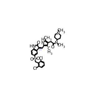 Cc1[nH]c(/C=C2\C(=O)Nc3ccc(S(=O)(=O)Cc4c(Cl)cccc4Cl)cc32)c(C)c1CC(=O)N(C)C1CCN(C)CC1